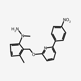 Cc1cccc(N(C)N)c1COc1cccc(-c2ccc([N+](=O)[O-])cc2)n1